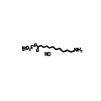 CCOC(=O)OC(=O)CCCCCCCCCCN.Cl